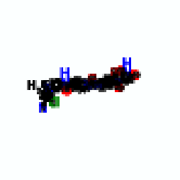 CN(c1ccc(C#N)c(Cl)c1)[C@H]1CC[C@H](NC(=O)c2ccc3c(c2)CCN(C(=O)CN2Cc4cc5c(cc4C2)C(=O)N(C2CCC(=O)NC2=O)C5=O)C3)CC1